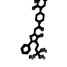 CC(C)(C)CCN1C(=O)C(CC(=O)N2CCC(N3Cc4ccccc4NC3=O)CC2)SC1c1ccccc1